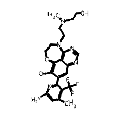 Cc1cc(N)nc(-c2cc3ncnc4c3c(c2Cl)OCCN4CCN(C)CCO)c1C(F)(F)F